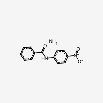 N.O=C(Nc1ccc([N+](=O)[O-])cc1)c1ccccc1